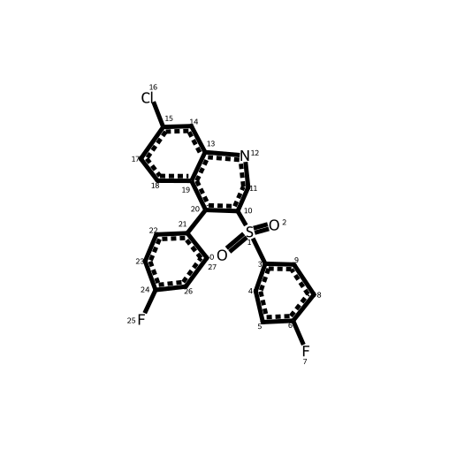 O=S(=O)(c1ccc(F)cc1)c1cnc2cc(Cl)ccc2c1-c1ccc(F)cc1